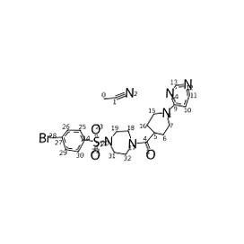 CC#N.O=C(C1CCN(c2ccncn2)CC1)N1CCN(S(=O)(=O)c2ccc(Br)cc2)CC1